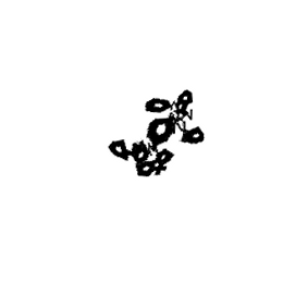 CC1(C)c2ccccc2-c2c(N(c3ccc(-c4ccccc4)cc3)c3ccc4c(c3)n(-c3ccccc3)c3nc5c6ccccc6n(-c6ccccc6)c5n43)cccc21